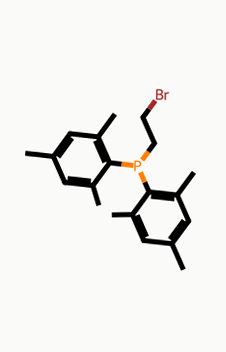 Cc1cc(C)c(P(CCBr)c2c(C)cc(C)cc2C)c(C)c1